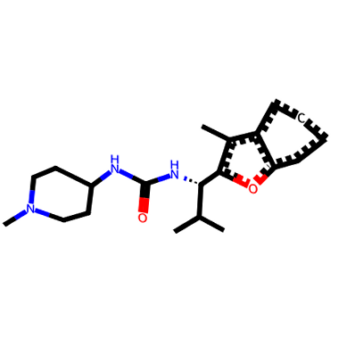 Cc1c([C@@H](NC(=O)NC2CCN(C)CC2)C(C)C)oc2ccccc12